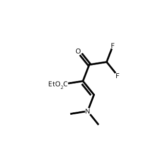 CCOC(=O)/C(=C\N(C)C)C(=O)C(F)F